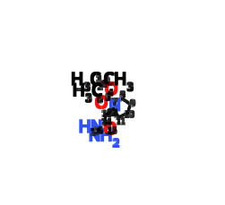 CC(C)(C)OC(=O)N1CCCC[C@H]1CC(=O)NN